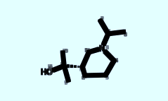 CC(C)N1CCC[C@H](C(C)(C)O)C1